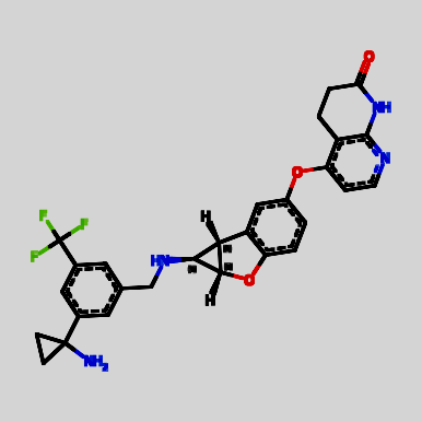 NC1(c2cc(CN[C@@H]3[C@H]4Oc5ccc(Oc6ccnc7c6CCC(=O)N7)cc5[C@@H]34)cc(C(F)(F)F)c2)CC1